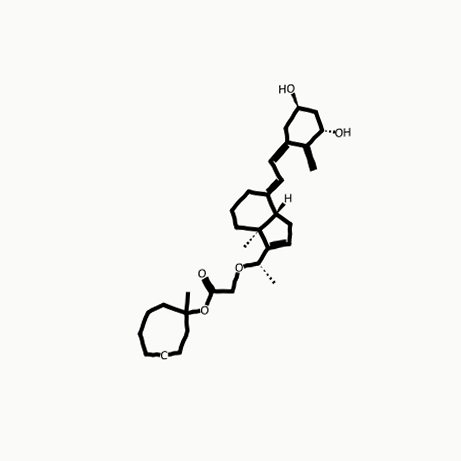 C=C1C(=CC=C2CCC[C@]3(C)C([C@H](C)OCC(=O)OC4(C)CCCCCCC4)=CC[C@@H]23)C[C@@H](O)C[C@@H]1O